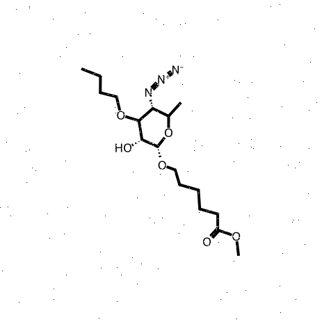 CCCCOC1[C@H](N=[N+]=[N-])C(C)O[C@H](OCCCCCC(=O)OC)[C@@H]1O